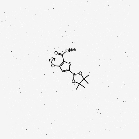 CCCOc1cc(B2OC(C)(C)C(C)(C)O2)sc1C(=O)OC